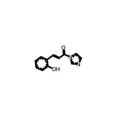 O=C(/C=C/c1ccccc1O)n1ccnc1